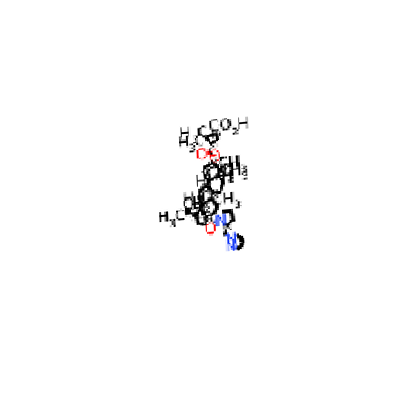 C=C(C)[C@@H]1CC[C@]2(C(=O)N3CCC[C@H]3Cn3cccn3)CC[C@]3(C)[C@H](CC[C@@H]4[C@@]5(C)CC[C@H](OC(=O)[C@H]6C[C@@H](C(=O)O)C6(C)C)C(C)(C)[C@@H]5CC[C@]43C)[C@@H]12